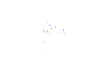 Nc1ccc(-c2ccc3[nH]c4ncnc(N[C@H]5CC[C@H](N6CCOCC6)CC5)c4c3c2)cn1